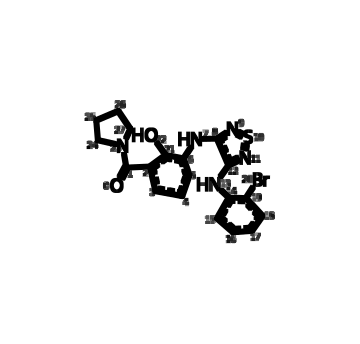 O=C(c1cccc(Nc2nsnc2Nc2ccccc2Br)c1O)N1CCCC1